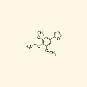 CCOc1c(OC)cc(-c2ccco2)cc1OC